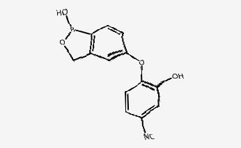 [C-]#[N+]c1ccc(Oc2ccc3c(c2)COB3O)c(O)c1